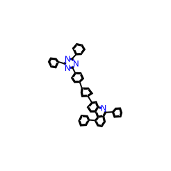 c1ccc(-c2nc(-c3ccccc3)nc(-c3ccc(-c4ccc(-c5ccc6c(c5)nc(-c5ccccc5)c5cccc(-c7ccccc7)c56)cc4)cc3)n2)cc1